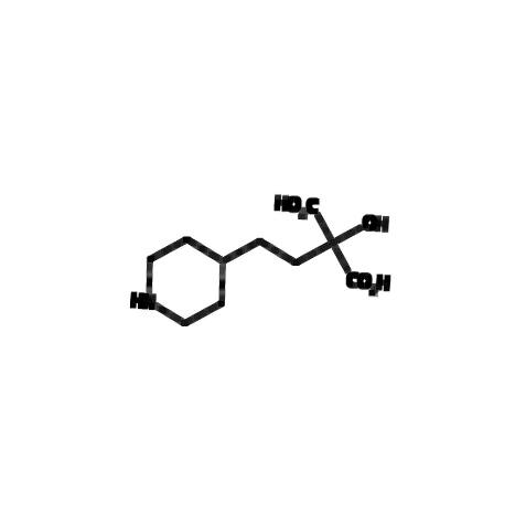 O=C(O)C(O)(CCC1CCNCC1)C(=O)O